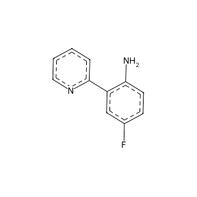 Nc1ccc(F)cc1-c1ccccn1